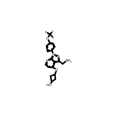 NCc1nn(-c2ccc(OC(F)(F)F)cc2)c2nccc(OC3CC(O)C3)c12